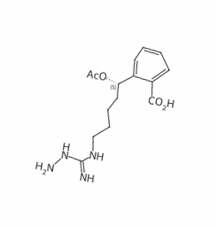 CC(=O)O[C@@H](CCCCNC(=N)NN)c1ccccc1C(=O)O